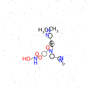 CN(C)c1ccc(C23CCC(CN(C(=O)C4CCC(OC(=O)NCCO)CC4)c4cccc(-c5cnn(C6CC6)c5)c4)(CC2)CC3)cn1